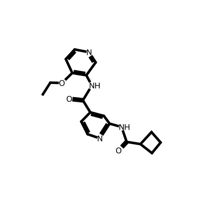 CCOc1ccncc1NC(=O)c1ccnc(NC(=O)C2CCC2)c1